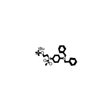 CC(C)(C)[Si](C)(C)OCCN(C1CCC(N(Cc2ccccc2)Cc2ccccc2)CC1)S(C)(=O)=O